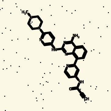 C#CC(=O)Nc1ccnc(-c2cccc3c(N)nc(Nc4ccc(N5CCN(C)CC5)nc4)nc23)c1